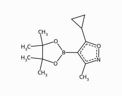 Cc1noc(C2CC2)c1B1OC(C)(C)C(C)(C)O1